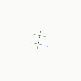 CC(N)(F)C(C)(F)F